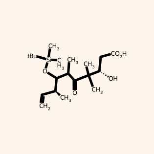 C=C[C@H](C)C(O[Si](C)(C)C(C)(C)C)C(C)C(=O)C(C)(C)[C@@H](O)CC(=O)O